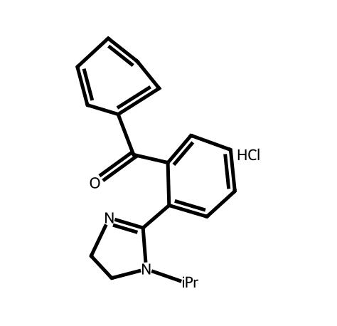 CC(C)N1CCN=C1c1ccccc1C(=O)c1ccccc1.Cl